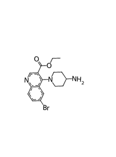 CCOC(=O)c1cnc2ccc(Br)cc2c1N1CCC(N)CC1